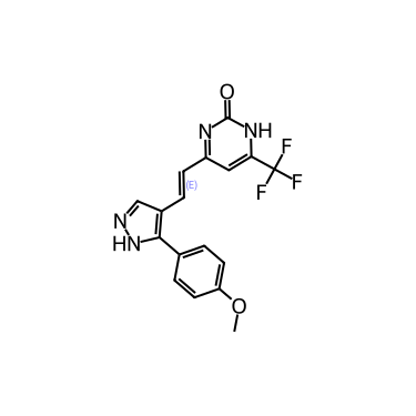 COc1ccc(-c2[nH]ncc2/C=C/c2cc(C(F)(F)F)[nH]c(=O)n2)cc1